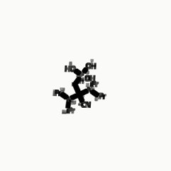 CC(C)N(C(C)C)C(C#N)(C[PH](O)(O)O)N(C(C)C)C(C)C